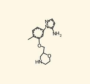 Cc1ccc(-n2nccc2N)cc1OCC1CNCCO1